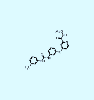 CONC(=O)c1nccc(Oc2cccc(NC(=O)Nc3cccc(C(F)(F)F)c3)c2)n1